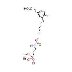 CCO[Si](CCCNC(=O)OCCCCCCOc1cc(/C=C/C(=O)O)ccc1F)(OCC)OCC